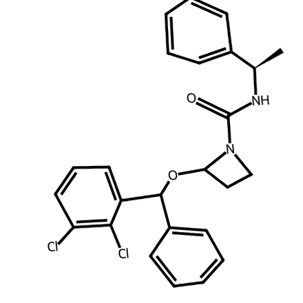 C[C@@H](NC(=O)N1CCC1OC(c1ccccc1)c1cccc(Cl)c1Cl)c1ccccc1